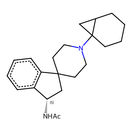 CC(=O)N[C@H]1CC2(CCN(C34CCCCC3C4)CC2)c2ccccc21